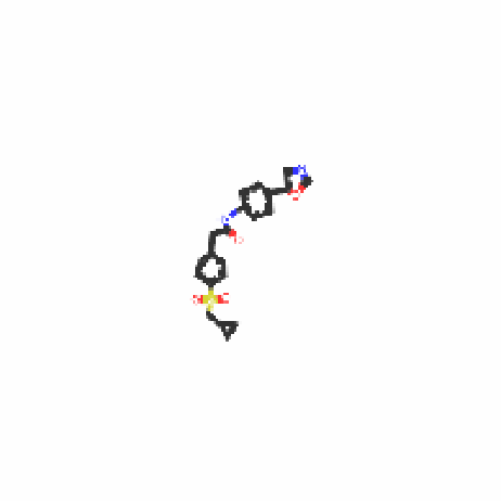 O=C(Cc1ccc(S(=O)(=O)CC2CC2)cc1)Nc1ccc(-c2cnco2)cc1